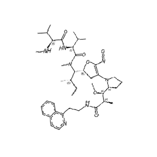 CC[C@H](C)C([C@H]1CC(N2CCC[C@H]2[C@H](OC)[C@@H](C)C(=O)NCCc2nccc3ccccc23)=C(N=O)O1)N(C)C(=O)[C@@H](NC(=O)[C@@H](NC)C(C)C)C(C)C